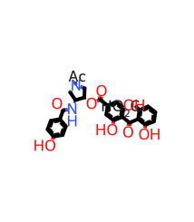 CC(=O)N1C[C@H](NC(=O)c2ccc(O)cc2)[C@@H](OC(=O)c2cc(O)c(C(=O)c3c(O)cccc3C(=O)O)c(O)c2)C1